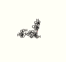 CCNc1nc(Cl)nc(NC(C)C)n1.CCc1cccc(C)c1N(C(=O)CCl)C(C)COC.C[S+](C)C.Cc1nn(-c2cc(NS(C)(=O)=O)c(Cl)cc2Cl)c(=O)n1C(F)F.O=C(O)CNCP(=O)([O-])O